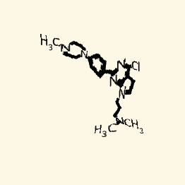 CN(C)CCCN1CCc2c(Cl)nc(-c3ccc(N4CCN(C)CC4)cc3)nc21